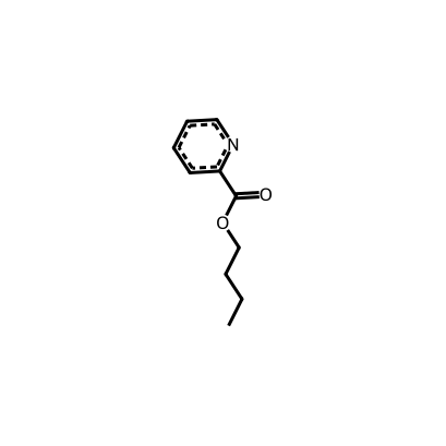 CCCCOC(=O)c1ccccn1